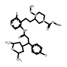 CCCSN1CCN(C(=O)OC(C)(C)C)CC1CCc1c(F)cncc1NC(=O)CC(c1ccc(Cl)cc1)C1CC(C)OC(C)C1